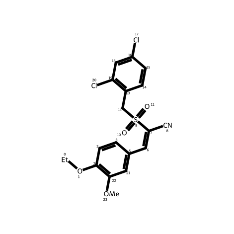 CCOc1ccc(/C=C(/C#N)S(=O)(=O)Cc2ccc(Cl)cc2Cl)cc1OC